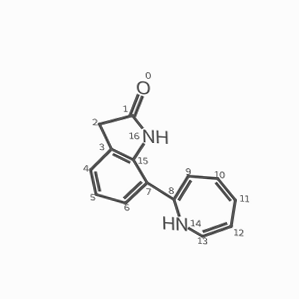 O=C1Cc2cccc(C3=CC=CC=CN3)c2N1